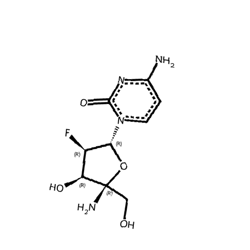 Nc1ccn([C@@H]2O[C@](N)(CO)[C@@H](O)[C@H]2F)c(=O)n1